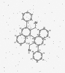 BrCc1c(-c2ccccc2)cc2ccccc2c1-c1c(CBr)c(-c2ccccc2)cc2ccccc12